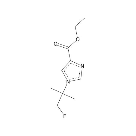 CCOC(=O)c1cn(C(C)(C)CF)cn1